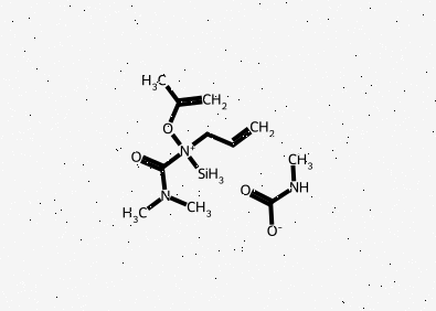 C=CC[N+]([SiH3])(OC(=C)C)C(=O)N(C)C.CNC(=O)[O-]